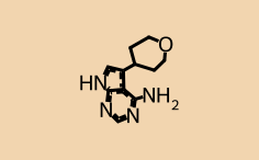 Nc1ncnc2[nH]cc(C3CCOCC3)c12